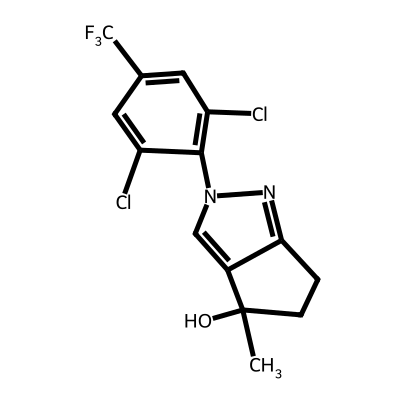 CC1(O)CCc2nn(-c3c(Cl)cc(C(F)(F)F)cc3Cl)cc21